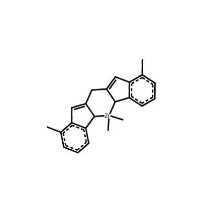 Cc1cccc2c1C=C1CC3=Cc4c(C)cccc4[CH]3[Zr]([CH3])([CH3])[CH]12